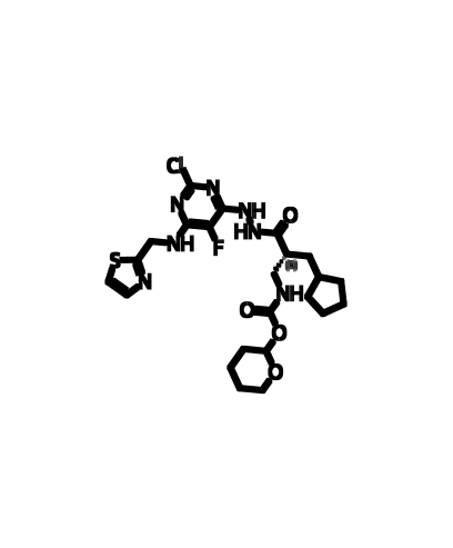 O=C(NC[C@@H](CC1CCCC1)C(=O)NNc1nc(Cl)nc(NCc2nccs2)c1F)OC1CCCCO1